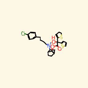 CN(CCCCc1ccc(Cl)cc1)C1CC2CCC1C2OC(=O)C(O)(C1=CCCS1)c1cccs1